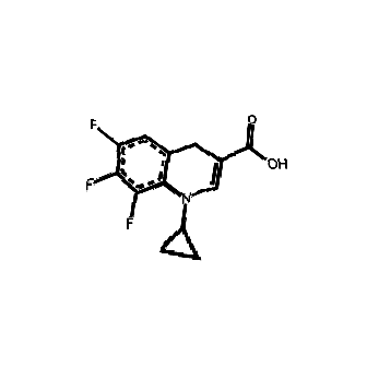 O=C(O)C1=CN(C2CC2)c2c(cc(F)c(F)c2F)C1